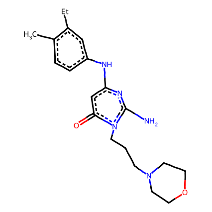 CCc1cc(Nc2cc(=O)n(CCCN3CCOCC3)c(N)n2)ccc1C